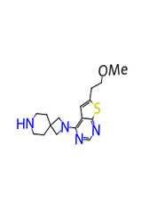 COCCc1cc2c(N3CC4(CCNCC4)C3)ncnc2s1